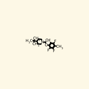 Cc1c(F)c(F)c(OC(=O)N2CCC(C(C)(C)C)CC2)c(F)c1F